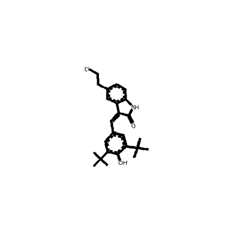 CC(C)(C)c1cc(C=C2C(=O)Nc3ccc(CCCl)cc32)cc(C(C)(C)C)c1O